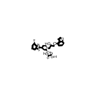 CC1CC(c2nc3c(F)cccc3s2)CCN1C[C@H](O)COc1cccc2occc12.O=C(O)C(=O)O